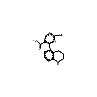 NC(=O)c1cnc(N)nc1-c1cccc2c1CCCN2